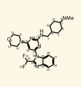 CNC1CCC(CNc2nc(N3CCOCC3)cc(-n3c(C(F)F)nc4ccccc43)n2)CC1